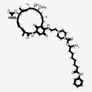 CO[C@H]1/C=C\C=C(/C)C(=O)NC2=CC(=O)C(NCCN3CCN(C(=O)OC(N)CCCCCCC(=O)Nc4ccccc4)CC3)=C(C[C@@H](C)C[C@H](OC)[C@@H](O)[C@@H](C)/C=C(\C)[C@@H]1OC(N)=O)C2=O